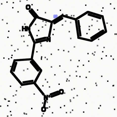 O=C1NC(c2cccc([N+](=O)[O-])c2)=N/C1=C\c1ccccc1